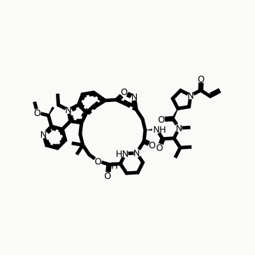 C=CC(=O)N1CC[C@H](C(=O)N(C)C(C(=O)N[C@H]2Cc3cc(on3)-c3ccc4c(c3)c(c(-c3cccnc3[C@H](C)OC)n4CC)CC(C)(C)COC(=O)[C@@H]3CCCN(N3)C2=O)C(C)C)C1